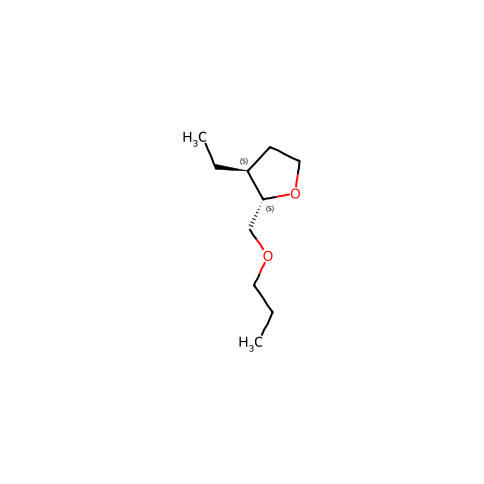 CCCOC[C@H]1OCC[C@@H]1CC